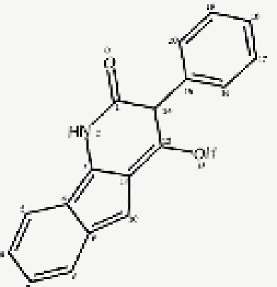 O=C1NC2=c3ccccc3=CC2=C(O)C1c1ccccc1